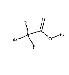 CCOC(=O)C(F)(F)C(C)=O